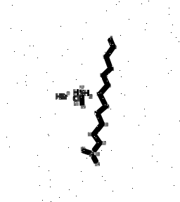 Br.CCCCCCCCCCCCN(C)C.CN.Cl